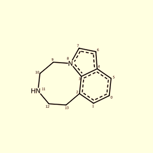 c1cc2c3c(c1)ccn3CCNCC2